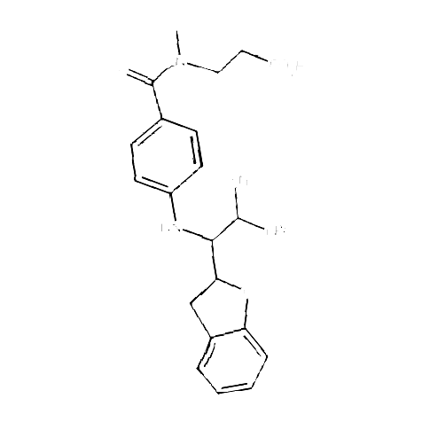 CCCC(CCC)C(Nc1ccc(C(=O)N(C)CCC(=O)O)cc1)C1Cc2ccccc2O1